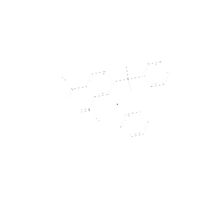 CC(C)(c1ccccc1)c1ccc(C(N)=O)c(C(N)=O)c1C(C)(C)c1ccccc1